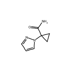 NC(=O)C1(n2cccn2)CC1